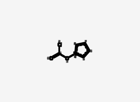 O=C(Cl)On1cccc1